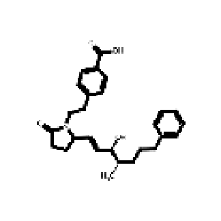 C[C@@H](CCCc1ccccc1)[C@H](O)C=CC1CCC(=O)N1CCc1ccc(C(=O)O)cc1